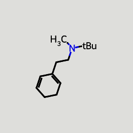 CN(CCC1=CCCC=C1)C(C)(C)C